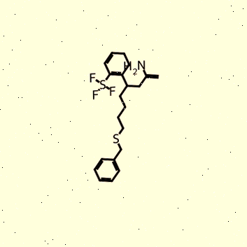 C=C(N)CC(CCCCSCc1ccccc1)C1=C(S(F)(F)F)C=CCC1